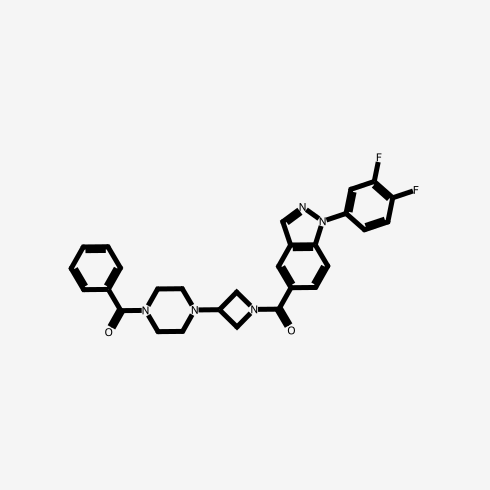 O=C(c1ccccc1)N1CCN(C2CN(C(=O)c3ccc4c(cnn4-c4ccc(F)c(F)c4)c3)C2)CC1